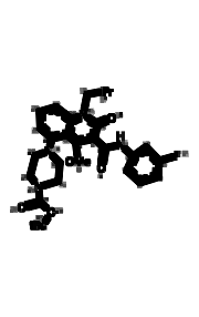 COc1c(C(=O)Nc2cccc(F)c2)c(=O)n(CC(C)C)c2cccc(N3CCN(C(=O)OC(C)(C)C)CC3)c12